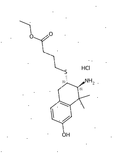 CCOC(=O)CCCS[C@H]1Cc2ccc(O)cc2C(C)(C)[C@@H]1N.Cl